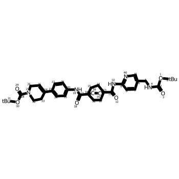 CC(C)(C)OC(=O)NCc1ccc(NC(=O)C23CCC(C(=O)Nc4ccc(C5=CCN(C(=O)OC(C)(C)C)CC5)cc4)(CC2)CC3)nc1